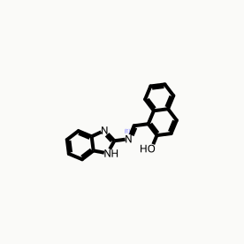 Oc1ccc2ccccc2c1/C=N/c1nc2ccccc2[nH]1